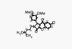 COc1cc(C2c3c(oc4ccc(Cl)cc4c3=O)C(=O)N2CCCN(C)C)cnc1OC